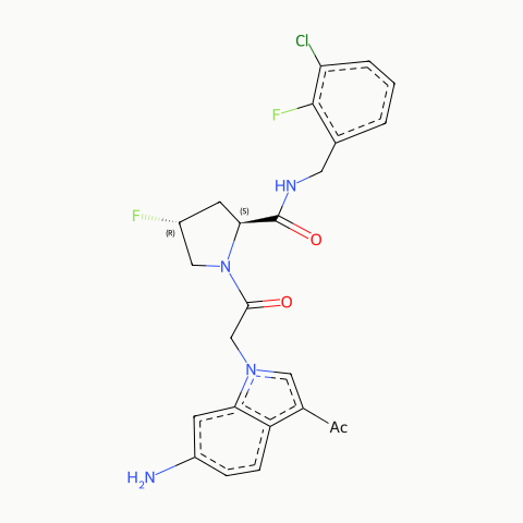 CC(=O)c1cn(CC(=O)N2C[C@H](F)C[C@H]2C(=O)NCc2cccc(Cl)c2F)c2cc(N)ccc12